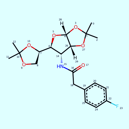 CC1(C)O[C@H]2O[C@H]([C@H]3COC(C)(C)O3)[C@@H](NC(=O)Cc3ccc(F)cc3)[C@H]2O1